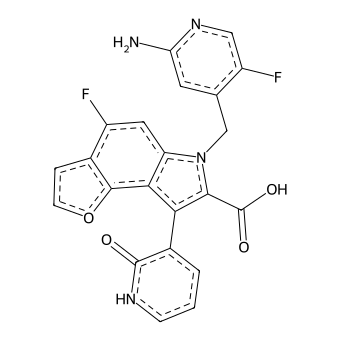 Nc1cc(Cn2c(C(=O)O)c(-c3ccc[nH]c3=O)c3c4occc4c(F)cc32)c(F)cn1